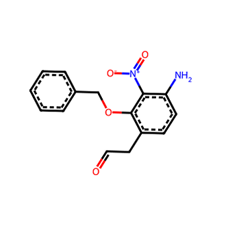 Nc1ccc(CC=O)c(OCc2ccccc2)c1[N+](=O)[O-]